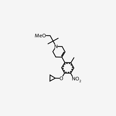 COCC(C)(C)N1CC=C(c2cc(OC3CC3)c([N+](=O)[O-])cc2C)CC1